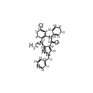 CN1C2=C(C=C(Cl)CC2)N(C2=CCCC=C2)C(=O)c2cn(Cc3ccncc3)nc21